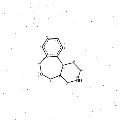 c1ccc2c(c1)COCC1CNCCN21